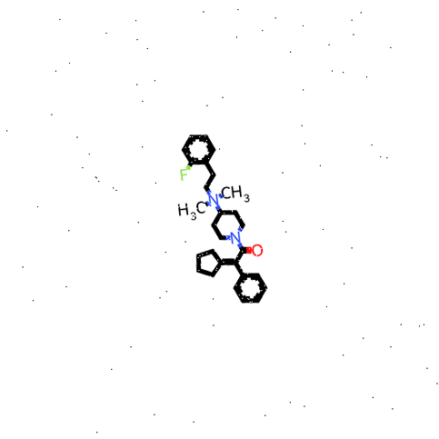 C[N+](C)(CCc1ccccc1F)C1CCN(C(=O)C(=C2CCCC2)c2ccccc2)CC1